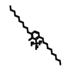 CCCCCCCCCCc1ccc(CCCCCCCCCC)c(C(F)(F)F)c1C